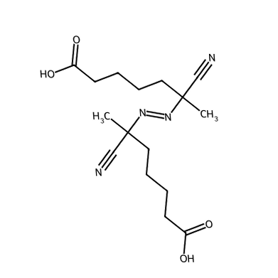 CC(C#N)(CCCCC(=O)O)N=NC(C)(C#N)CCCCC(=O)O